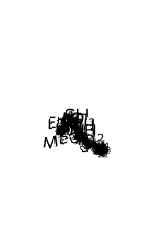 CCC1CN(C)C2=C(N[C@@](N)(Nc3ccc(S(=O)(=O)CCN4CCCC4)cc3OC)NC2=O)N1C1CCCC1